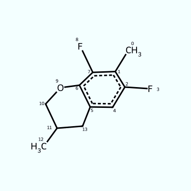 Cc1c(F)cc2c(c1F)OCC(C)C2